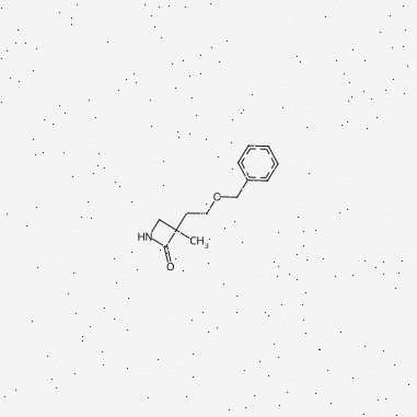 CC1(CCOCc2ccccc2)CNC1=O